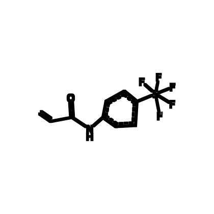 C=CC(=O)Nc1ccc(S(F)(F)(F)(F)F)cc1